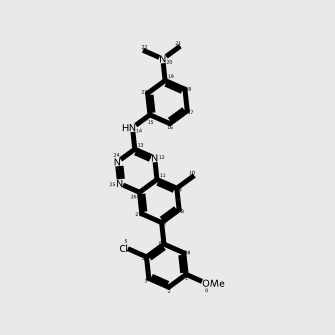 COc1ccc(Cl)c(-c2cc(C)c3nc(Nc4cccc(N(C)C)c4)nnc3c2)c1